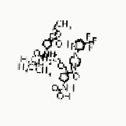 CCOC[C@]1(C(=O)N2CCN(c3cc(C(F)(F)F)ccn3)CC2)CCC(NC(=O)O)C1.CCOC[C@]1(C(=O)O)CCC(NC(=O)OC(C)(C)C)C1